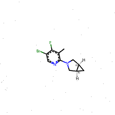 Cc1c(N2C[C@H]3C[C@H]3C2)ncc(Br)c1F